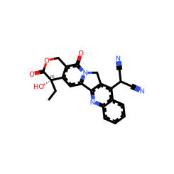 CC[C@@]1(O)C(=O)OCc2c1cc1n(c2=O)Cc2c-1nc1ccccc1c2C(C#N)C#N